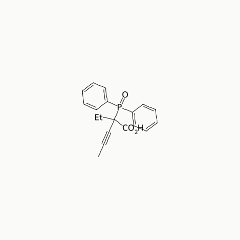 CC#CC(CC)(C(=O)O)P(=O)(c1ccccc1)c1ccccc1